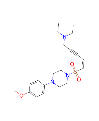 CCN(CC)CC#C/C=C\S(=O)(=O)N1CCN(c2ccc(OC)cc2)CC1